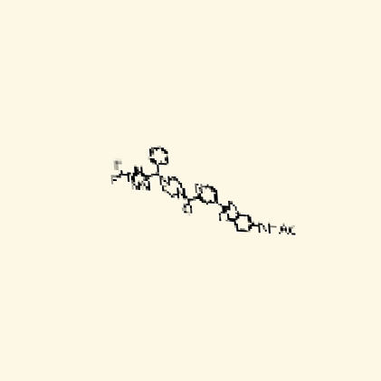 CC(=O)Nc1ccc2oc(-c3ccnc(C(=O)N4CCN(C(c5ccccc5)c5nnn(C(F)F)n5)CC4)c3)nc2c1